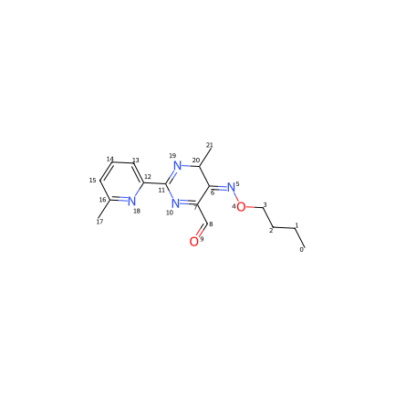 CCCCON=C1C(C=O)=NC(c2cccc(C)n2)=NC1C